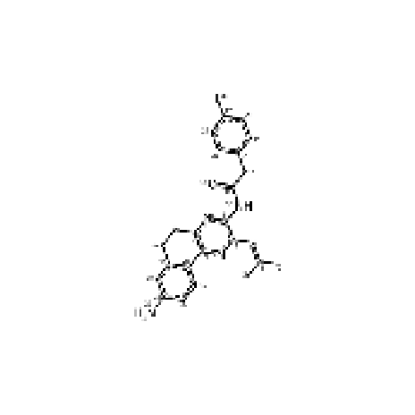 CC(C)=Cc1nc2c(nc1NC(=O)Cc1ccc(I)cc1)CCc1cc(N)ccc1-2